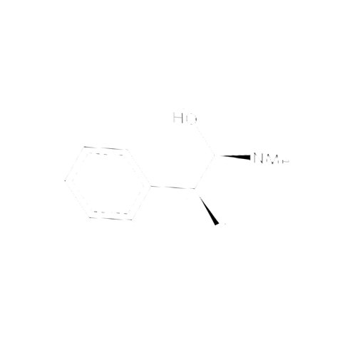 C[N][C@H](O)[C@@H](C)c1ccccc1